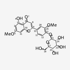 COc1cc(O)c2c(=O)cc(-c3ccc(O[C@@H]4O[C@H](CO)[C@@H](O)[C@H](O)[C@H]4O)c(OC)c3)oc2c1